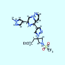 CCOC(=O)CC1(n2cc(-c3nc(-c4cnn(C)c4)cn4nccc34)cn2)CN(S(=O)(=O)C(F)(F)F)C1